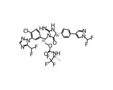 C[C@@H](NC(=O)OC[C@H](c1ccc(Cl)c(-n2ncnc2C(F)F)c1)N1C(=N)N[C@H](c2ccc(-c3cnn(C(F)F)c3)cc2)C1=O)C(F)(F)F